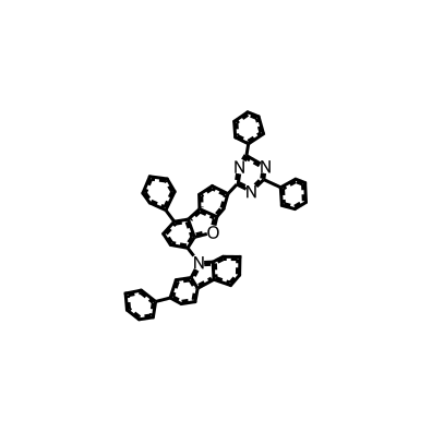 c1ccc(-c2ccc3c4ccccc4n(-c4ccc(-c5ccccc5)c5c4oc4cc(-c6nc(-c7ccccc7)nc(-c7ccccc7)n6)ccc45)c3c2)cc1